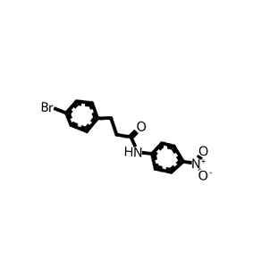 O=C(CCc1ccc(Br)cc1)Nc1ccc([N+](=O)[O-])cc1